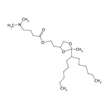 CCCCCCC(CCCCCC)C1(C)OCC(CCOC(=O)CCCN(C)C)O1